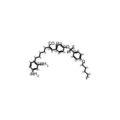 Nc1ccc(CCCCCC(=Cc2ccc(OC(F)(F)c3ccc(OCCCCF)cc3)cc2)C(=O)O)c(N)c1